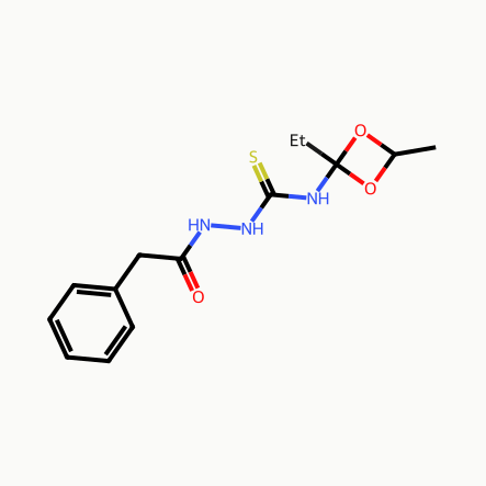 CCC1(NC(=S)NNC(=O)Cc2ccccc2)OC(C)O1